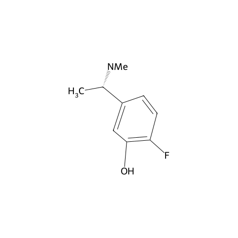 CN[C@@H](C)c1ccc(F)c(O)c1